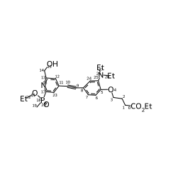 CCOC(=O)CCCOc1ccc(C#Cc2cc(CO)nc(P(C)(=O)OCC)c2)cc1N(CC)CC